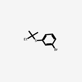 CCC(C)(C)Sc1cccc(Br)c1